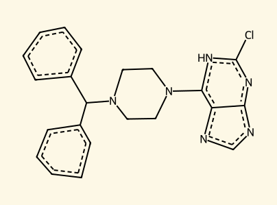 Clc1nc2ncnc-2c(N2CCN(C(c3ccccc3)c3ccccc3)CC2)[nH]1